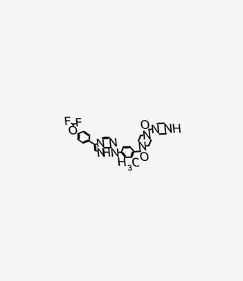 Cc1cc(Nc2nccn3c(-c4ccc(OC(F)F)cc4)cnc23)ccc1C(=O)N1CCN(C(=O)N2CCNCC2)CC1